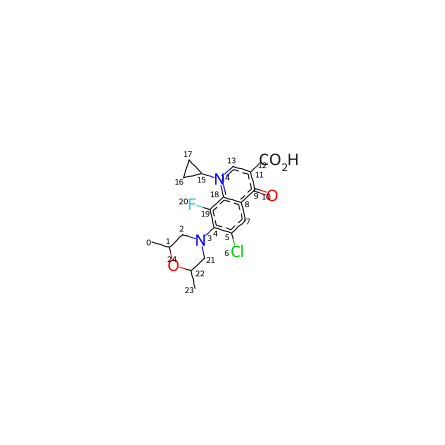 CC1CN(c2c(Cl)cc3c(=O)c(C(=O)O)cn(C4CC4)c3c2F)CC(C)O1